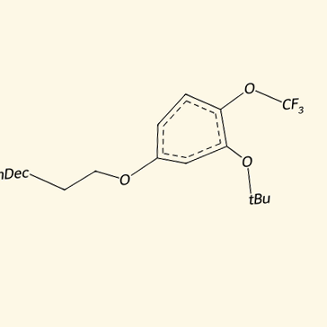 CCCCCCCCCCCCOc1ccc(OC(F)(F)F)c(OC(C)(C)C)c1